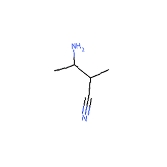 CC(N)C(C)C#N